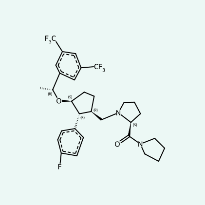 C[C@@H](O[C@H]1CC[C@@H](CN2CCC[C@H]2C(=O)N2CCCC2)[C@@H]1c1ccc(F)cc1)c1cc(C(F)(F)F)cc(C(F)(F)F)c1